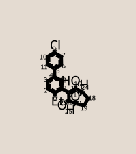 CCc1ccc(-c2ccc(Cl)cc2)cc1C1=C(O)[C@H]2CC[C@H](O2)C1=O